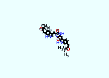 CC1(C)OC1Cc1ccc2c(c1)NCC2CC1NC(=O)C(CC2CNc3cc(CC4OC4(C)C)ccc32)NC1=O